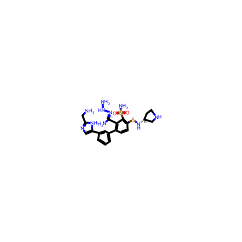 NCc1ncc(-c2cccc(-c3ccc(SN[C@@H]4CCNC4)c(S(N)(=O)=O)c3/C(N)=N/NN)c2)[nH]1